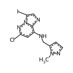 Cn1nccc1CNc1cc(Cl)nn2c(I)cnc12